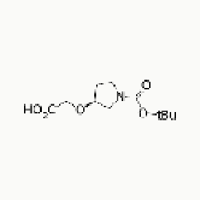 CC(C)(C)OC(=O)N1CC[C@H](OCC(=O)O)C1